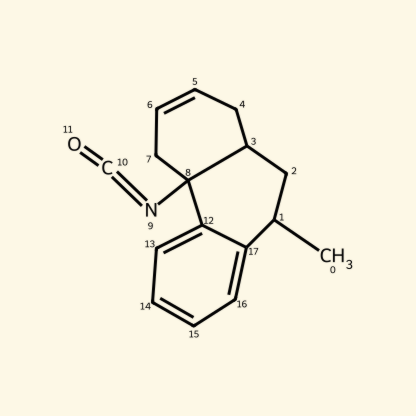 CC1CC2CC=CCC2(N=C=O)c2ccccc21